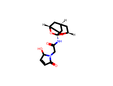 O=C(CN1C(=O)C=CC1O)N[C@]12C[C@H]3C[C@H](C[C@H](C3)O1)O2